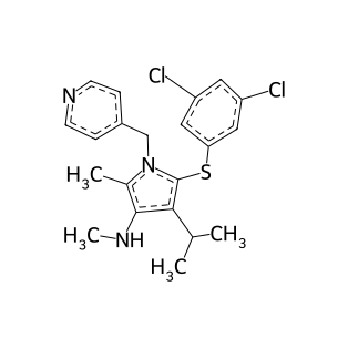 CNc1c(C(C)C)c(Sc2cc(Cl)cc(Cl)c2)n(Cc2ccncc2)c1C